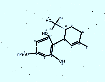 CCCCCc1cc(O)c(C2C=C(C)CC[C@H]2C(C)(C)O)c(O)c1